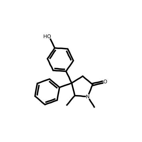 CC1N(C)C(=O)CC1(c1ccccc1)c1ccc(O)cc1